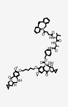 COc1cc2c(cc1OCCCCCOc1cc3c(cc1OC)C(=O)N1CC4(CC4)C[C@H]1C(O)N3C(=O)OCc1ccc(NC(=O)[C@H](C)NC(=O)[C@@H](NC(=O)CCC(=O)N3Cc4ccccc4C#Cc4ccccc43)C(C)C)cc1)NC[C@@H]1CC3(CC3)CN1C2=O